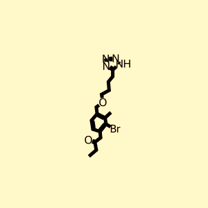 CCC(=O)Cc1ccc(COCCCCc2nnn[nH]2)c(C)c1Br